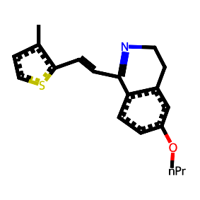 CCCOc1ccc2c(c1)CCN=C2C=Cc1sccc1C